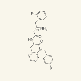 N[C@@H](CC(=O)NC1Cc2ncccc2N(Cc2ccc(F)cc2)C1=O)Cc1ccccc1F